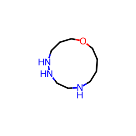 C1CCOCCCNNCCNC1